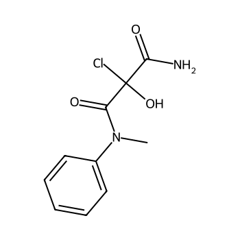 CN(C(=O)C(O)(Cl)C(N)=O)c1ccccc1